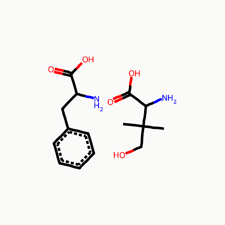 CC(C)(CO)C(N)C(=O)O.NC(Cc1ccccc1)C(=O)O